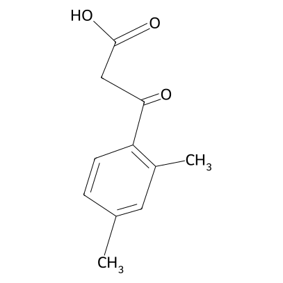 Cc1ccc(C(=O)CC(=O)O)c(C)c1